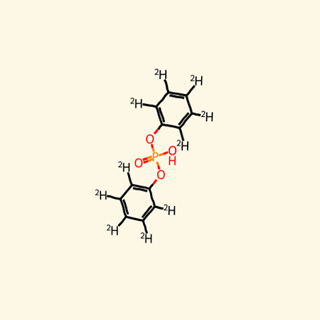 [2H]c1c([2H])c([2H])c(OP(=O)(O)Oc2c([2H])c([2H])c([2H])c([2H])c2[2H])c([2H])c1[2H]